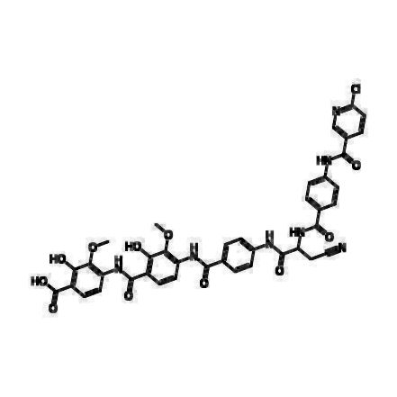 COc1c(NC(=O)c2ccc(NC(=O)c3ccc(NC(=O)C(CC#N)NC(=O)c4ccc(NC(=O)c5ccc(Cl)nc5)cc4)cc3)c(OC)c2O)ccc(C(=O)O)c1O